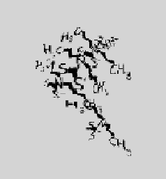 CCCCN(CCCC)C(=S)[S-].CCCCN(CCCC)C(=S)[S-].CCCCN(CCCC)C(=S)[S-].CCCCN(CCCC)C(=S)[S-].[Zn+2].[Zn+2]